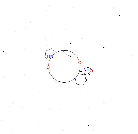 C1CCOC2CCCC(N2)C2CCC(CC2)OC[C@@H]2N(CC1)CCC[C@@]21COCCN1